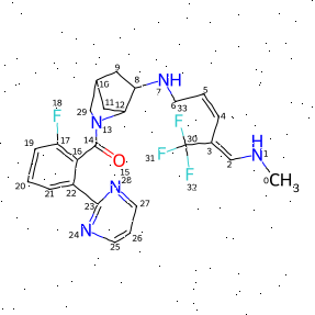 CN/C=C(\C=C/CNC1CC2CC1N(C(=O)c1c(F)cccc1-c1ncccn1)C2)C(F)(F)F